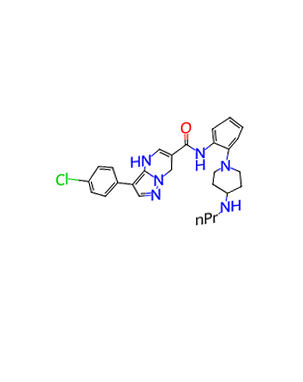 CCCNC1CCN(c2ccccc2NC(=O)C2=CNc3c(-c4ccc(Cl)cc4)cnn3C2)CC1